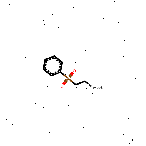 CCCCCCCCCS(=O)(=O)c1cc[c]cc1